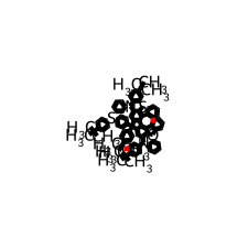 CC(C)(C)c1ccc(Sc2ccc(C3(c4ccc(C(C)(C)C)cc4)c4cc(N(c5ccccc5)c5ccc(C(C)(C)C)cc5)c5oc6ccccc6c5c4-c4c3cc(N(c3ccccc3)c3ccc(C(C)(C)C)cc3)c3sc5ccccc5c43)cc2)cc1